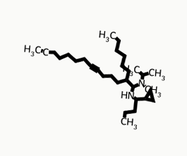 CCCCCCCC#CCCCC(CCCCCC)C(NC(CCC)C1CC1)N(C)C(C)C